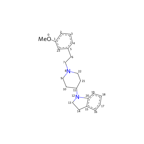 COc1cccc(CCN2CCC(N3CCc4ccccc43)CC2)c1